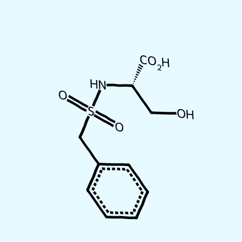 O=C(O)[C@H](CO)NS(=O)(=O)Cc1ccccc1